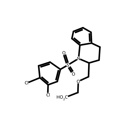 O=C(O)COCC1CCc2ccccc2N1S(=O)(=O)c1ccc(Cl)c(Cl)c1